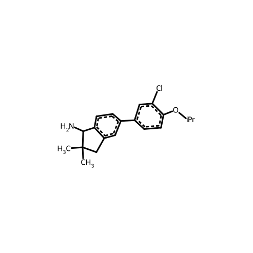 CC(C)Oc1ccc(-c2ccc3c(c2)CC(C)(C)C3N)cc1Cl